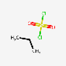 CCC.O=S(=O)(Cl)Cl